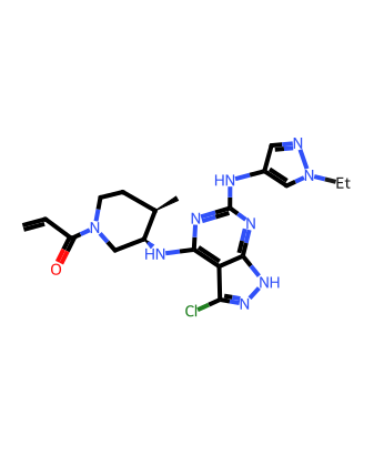 C=CC(=O)N1CC[C@@H](C)[C@@H](Nc2nc(Nc3cnn(CC)c3)nc3[nH]nc(Cl)c23)C1